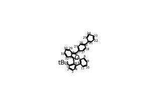 CC(C)(C)c1cccc(-c2ccccc2)c1-c1oc(-c2ccc(-c3ccccc3)cc2)c2ccccc12